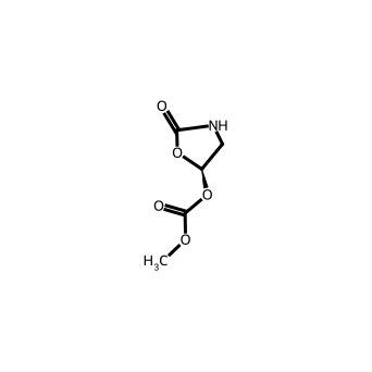 COC(=O)O[C@@H]1CNC(=O)O1